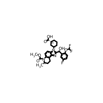 COC(=O)N1c2ccc3c(nc([C@H](O)c4cc(F)ccc4OC(F)F)n3[C@@H]3CCC[C@@H](C(=O)O)C3)c2CC[C@H]1C